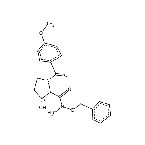 CN(OCc1ccccc1)C(=O)C1[C@H](O)CCN1C(=O)c1ccc(OC(F)(F)F)cc1